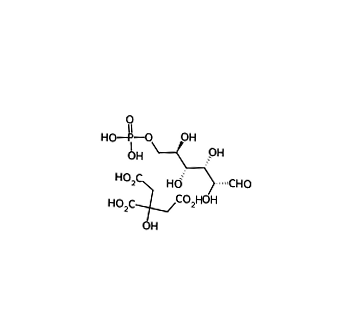 O=C(O)CC(O)(CC(=O)O)C(=O)O.O=C[C@H](O)[C@@H](O)[C@H](O)[C@H](O)COP(=O)(O)O